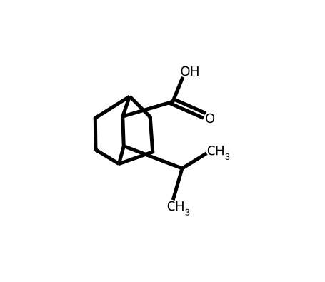 CC(C)C1C2CCC(CC2)C1C(=O)O